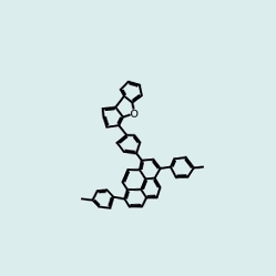 Cc1ccc(-c2ccc3ccc4c(-c5ccc(C)cc5)cc(-c5ccc(-c6cccc7c6oc6ccccc67)cc5)c5ccc2c3c45)cc1